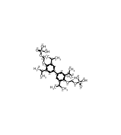 CC(C)c1cc(-c2cc(C(C)C)c(OCOP(=O)(O)O)c(C(C)C)c2)cc(C(C)C)c1OCOP(=O)(O)O